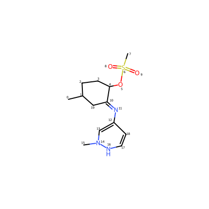 CC1CCC(OS(C)(=O)=O)C(=NC2=CN(C)NC=C2)C1